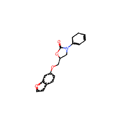 O=C1OC(COc2ccc3ccoc3c2)CN1C1=CC=CCC1